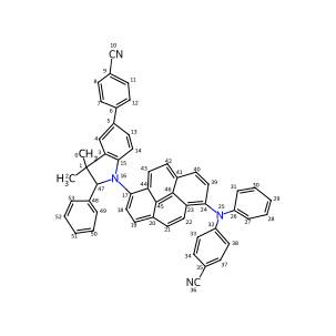 CC1(C)c2cc(-c3ccc(C#N)cc3)ccc2N(c2ccc3ccc4c(N(c5ccccc5)c5ccc(C#N)cc5)ccc5ccc2c3c54)C1c1ccccc1